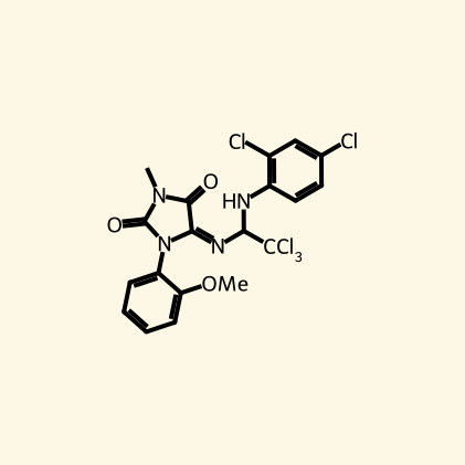 COc1ccccc1N1C(=O)N(C)C(=O)C1=NC(Nc1ccc(Cl)cc1Cl)C(Cl)(Cl)Cl